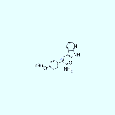 CCCCOc1ccc(/C(=C/c2c[nH]c3ncccc23)C(N)=O)cc1